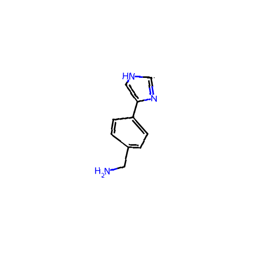 NCc1ccc(-c2c[nH][c]n2)cc1